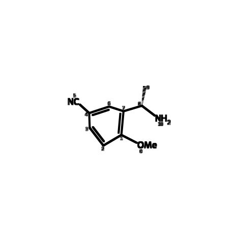 COc1ccc(C#N)cc1[C@H](C)N